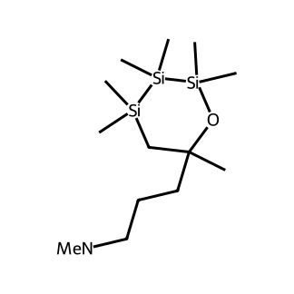 CNCCCC1(C)C[Si](C)(C)[Si](C)(C)[Si](C)(C)O1